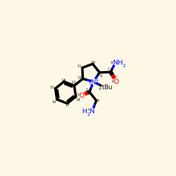 CC(C)(C)[N+]1(C(=O)CN)C(C(N)=O)CCC1c1ccccc1